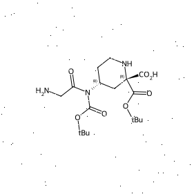 CC(C)(C)OC(=O)N(C(=O)CN)[C@@H]1CCN[C@](C(=O)O)(C(=O)OC(C)(C)C)C1